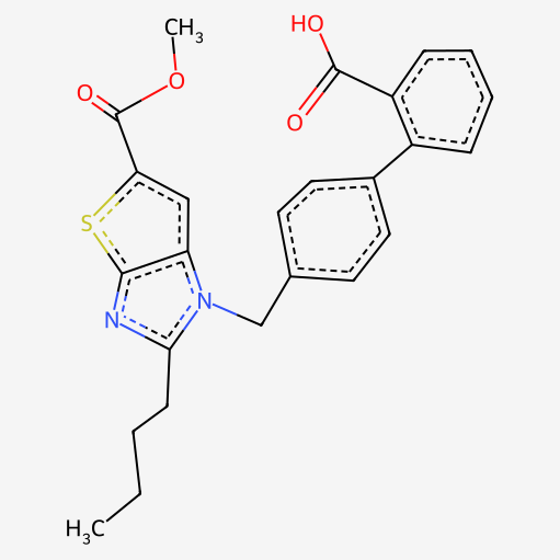 CCCCc1nc2sc(C(=O)OC)cc2n1Cc1ccc(-c2ccccc2C(=O)O)cc1